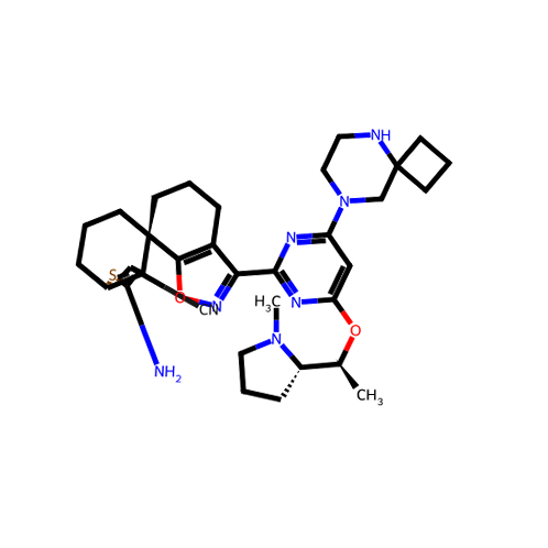 C[C@H](Oc1cc(N2CCNC3(CCC3)C2)nc(-c2noc3c2CCC[C@@]32CCCc3sc(N)c(C#N)c32)n1)[C@@H]1CCCN1C